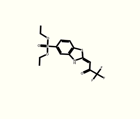 CCOP(=O)(OCC)c1ccc2c(c1)N/C(=C\C(=O)C(F)(F)F)S2